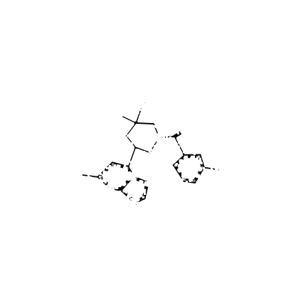 Cc1cc(C2CN(C(=O)c3cccc(Br)c3)CC(F)(P)C2)n2ncnc2n1